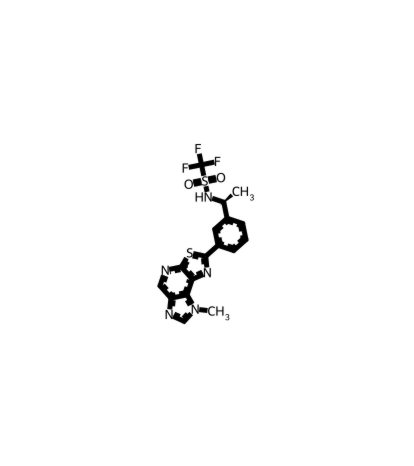 C[C@H](NS(=O)(=O)C(F)(F)F)c1cccc(-c2nc3c(ncc4ncn(C)c43)s2)c1